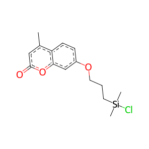 Cc1cc(=O)oc2cc(OCCC[Si](C)(C)Cl)ccc12